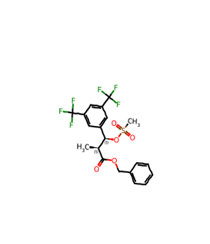 C[C@H](C(=O)OCc1ccccc1)[C@H](OS(C)(=O)=O)c1cc(C(F)(F)F)cc(C(F)(F)F)c1